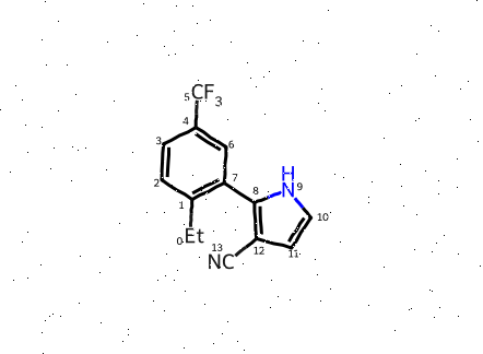 CCc1ccc(C(F)(F)F)cc1-c1[nH]ccc1C#N